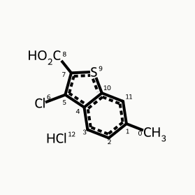 Cc1ccc2c(Cl)c(C(=O)O)sc2c1.Cl